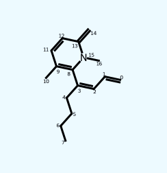 C=C/C=C(/CCCC)C1=C(C)C=CC(=C)N1C